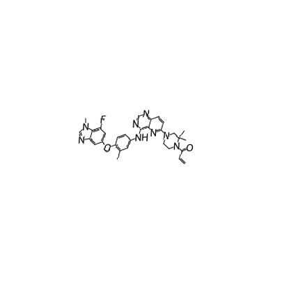 C=CC(=O)N1CCN(c2ccc3ncnc(Nc4ccc(Oc5cc(F)c6c(c5)ncn6C)c(C)c4)c3n2)CC1(C)C